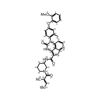 COc1ccccc1Oc1ccc(N2C(=O)Nc3c(C(=O)NC4CCCN(C(=O)/C(C#N)=C/C(C)(C)C)C4)sc4nccc2c34)c(C)c1